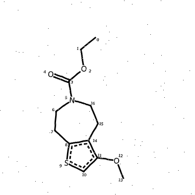 CCOC(=O)N1CCc2scc(OC)c2CC1